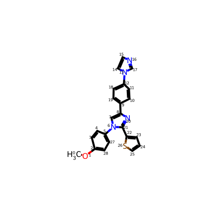 COc1ccc(-n2cc(-c3ccc(-n4ccnc4)cc3)nc2-c2cccs2)cc1